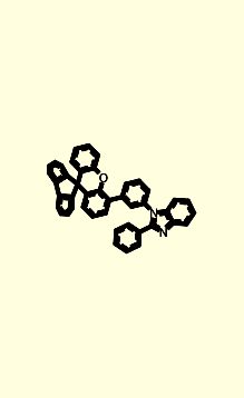 c1ccc(-c2nc3ccccc3n2-c2cccc(-c3cccc4c3Oc3ccccc3C43c4ccccc4-c4ccccc43)c2)cc1